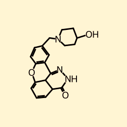 O=C1NN=C2c3cc(CN4CCC(O)CC4)ccc3OC3=CC=CC1C32